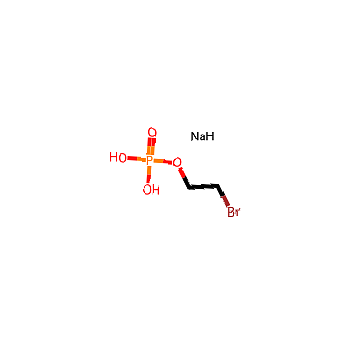 O=P(O)(O)OCCBr.[NaH]